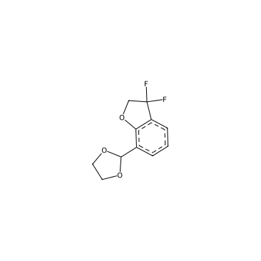 FC1(F)COc2c(C3OCCO3)cccc21